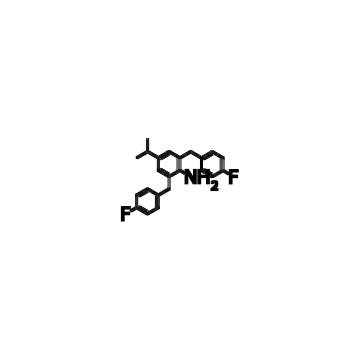 CC(C)c1cc(Cc2ccc(F)cc2)c(N)c(Cc2ccc(F)cc2)c1